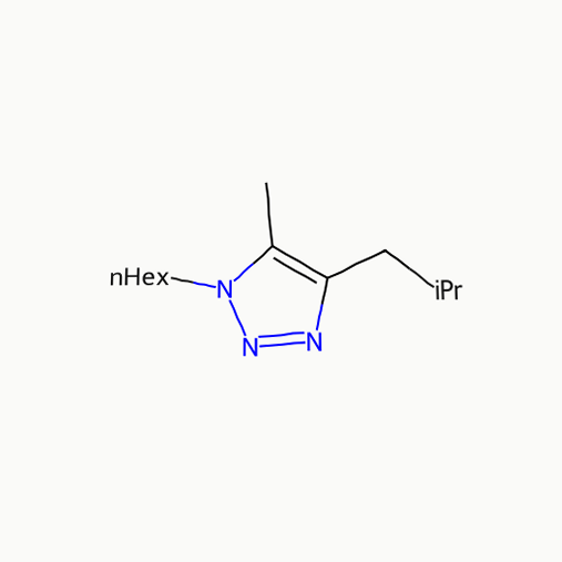 CCCCCCn1nnc(CC(C)C)c1C